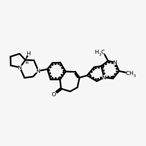 Cc1cn2cc(C3=Cc4ccc(N5CCN6CCC[C@@H]6C5)cc4C(=O)CC3)cc2c(C)n1